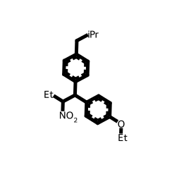 CCOc1ccc(C(c2ccc(CC(C)C)cc2)C(CC)[N+](=O)[O-])cc1